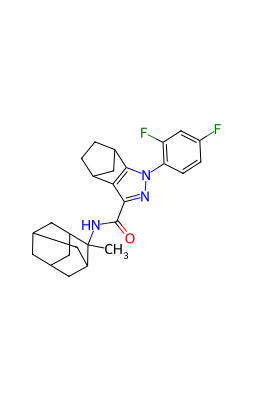 CC1(NC(=O)c2nn(-c3ccc(F)cc3F)c3c2C2CCC3C2)C2CC3CC(C2)CC1C3